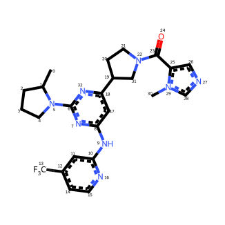 CC1CCCN1c1nc(Nc2cc(C(F)(F)F)ccn2)cc(C2CCN(C(=O)c3cncn3C)C2)n1